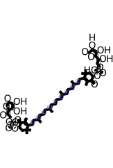 CC1=C(/C=C/C(C)=C/C=C/C(C)=C/C=C/C=C(C)/C=C/C=C(C)/C=C/C2=C(C)C(=O)C(OP(=O)(O)OC[C@H](O)[C@H]3OC(=O)C(O)=C3O)CC2(C)C)C(C)(C)CC(OP(=O)(O)OC[C@H](O)[C@H]2OC(=O)C(O)=C2O)C1=O